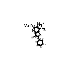 CNc1nc2c(I)c(-c3ccccc3)sc2c2c1ncn2C